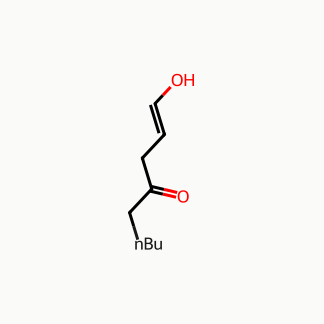 CCCCCC(=O)CC=CO